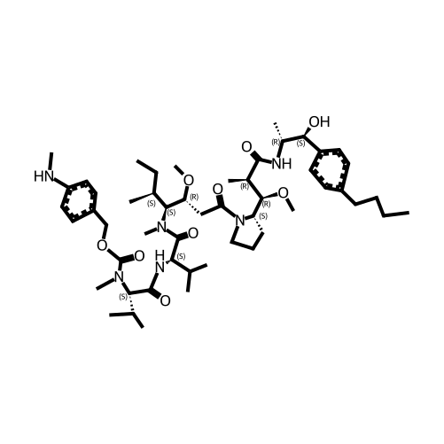 CCCCc1ccc([C@H](O)[C@@H](C)NC(=O)[C@H](C)[C@@H](OC)[C@@H]2CCCN2C(=O)C[C@@H](OC)[C@H]([C@@H](C)CC)N(C)C(=O)[C@@H](NC(=O)[C@H](C(C)C)N(C)C(=O)OCc2ccc(NC)cc2)C(C)C)cc1